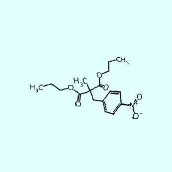 CCCOC(=O)C(C)(Cc1ccc([N+](=O)[O-])cc1)C(=O)OCCC